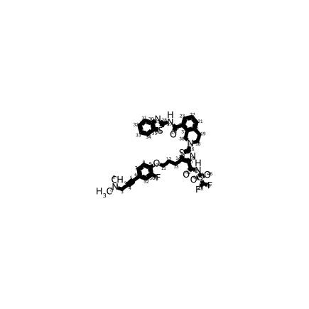 CN(C)CC#Cc1ccc(OCCCc2sc(N3CCc4cccc(C(=O)Nc5nc6ccccc6s5)c4C3)nc2C(=O)NS(=O)(=O)C(F)F)c(F)c1